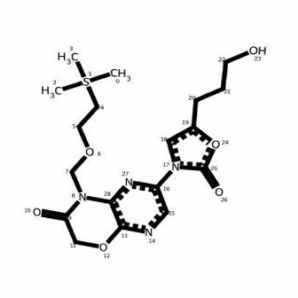 CS(C)(C)CCOCN1C(=O)COc2ncc(-n3cc(CCCO)oc3=O)nc21